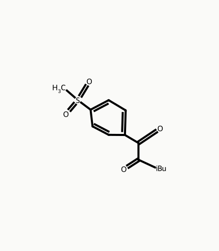 CCC(C)C(=O)C(=O)c1ccc(S(C)(=O)=O)cc1